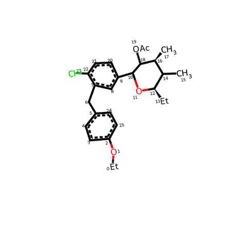 CCOc1ccc(Cc2cc(C3O[C@H](CC)C(C)[C@H](C)C3OC(C)=O)ccc2Cl)cc1